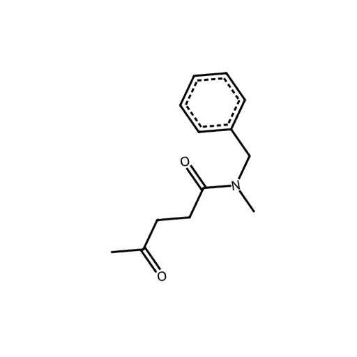 CC(=O)CCC(=O)N(C)Cc1ccccc1